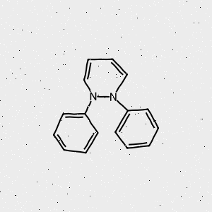 C1=CN(c2ccccc2)N(c2ccccc2)C=C1